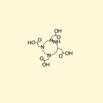 O=C(O)CC1CCN(CC(=O)O)CCN(CC(=O)O)CCN(CC(=O)O)NC1